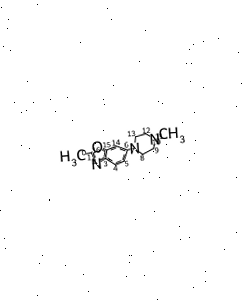 Cc1nc2ccc(N3CCN(C)CC3)cc2o1